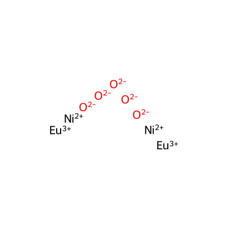 [Eu+3].[Eu+3].[Ni+2].[Ni+2].[O-2].[O-2].[O-2].[O-2].[O-2]